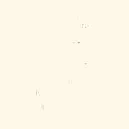 O=C(O)CC(CCOC(=O)CCC(=O)OCc1ccc(CO)c([N+](=O)[O-])c1)C(=O)O